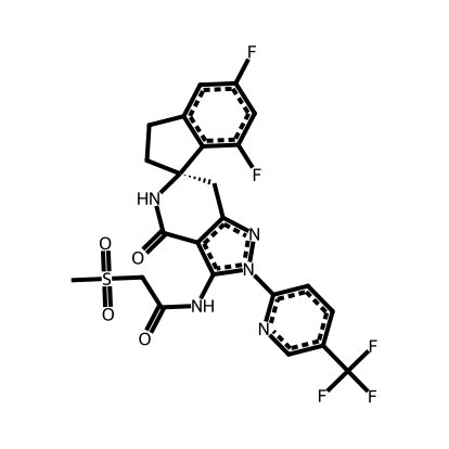 CS(=O)(=O)CC(=O)Nc1c2c(nn1-c1ccc(C(F)(F)F)cn1)C[C@@]1(CCc3cc(F)cc(F)c31)NC2=O